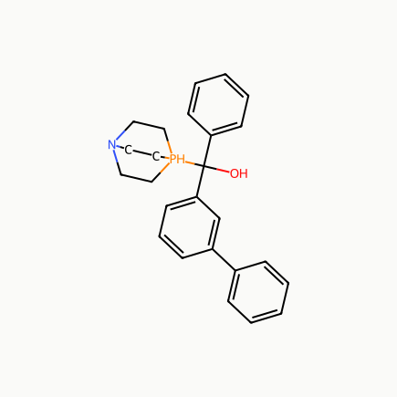 OC(c1ccccc1)(c1cccc(-c2ccccc2)c1)[PH]12CCN(CC1)CC2